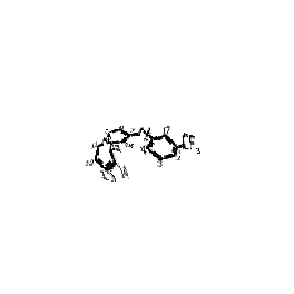 FC(F)(F)c1cccc(N=c2ccn3ccccc3c2)c1